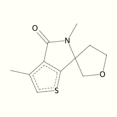 Cc1csc2c1C(=O)N(C)C21CCOC1